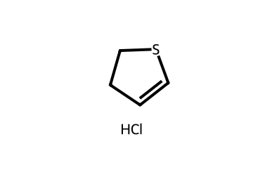 C1=CSCC1.Cl